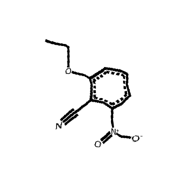 CCOc1cccc([N+](=O)[O-])c1C#N